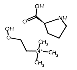 C[N+](C)(C)CCOO.O=C(O)[C@@H]1CCCN1